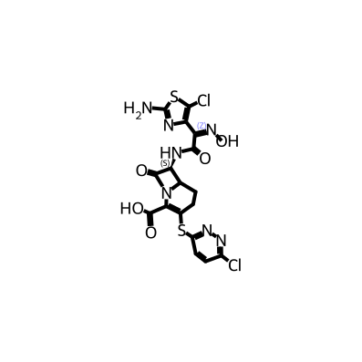 Nc1nc(/C(=N/O)C(=O)N[C@@H]2C(=O)N3C(C(=O)O)=C(Sc4ccc(Cl)nn4)CCC23)c(Cl)s1